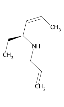 C=CCN[C@H](/C=C\C)CC